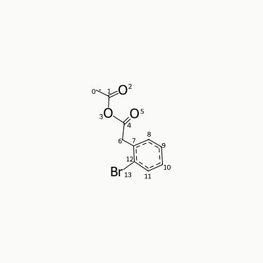 [CH2]C(=O)OC(=O)Cc1ccccc1Br